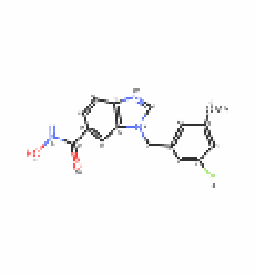 COc1cc(F)cc(Cn2cnc3ccc(C(=O)NO)cc32)c1